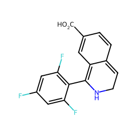 O=C(O)c1ccc2c(c1)=C(c1c(F)cc(F)cc1F)NCC=2